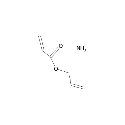 C=CCOC(=O)C=C.N